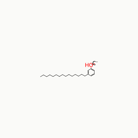 [CH2-][OH+]c1cccc(CCCCCCCCCCCCCCC)c1